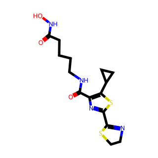 O=C(CCCCNC(=O)c1nc(C2=NCCS2)sc1C1CC1)NO